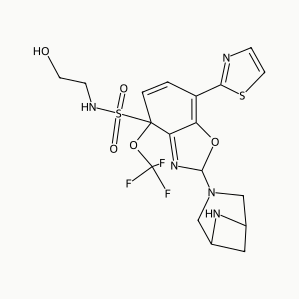 O=S(=O)(NCCO)C1(OC(F)(F)F)C=CC(c2nccs2)=C2OC(N3CC4CC(C3)N4)N=C21